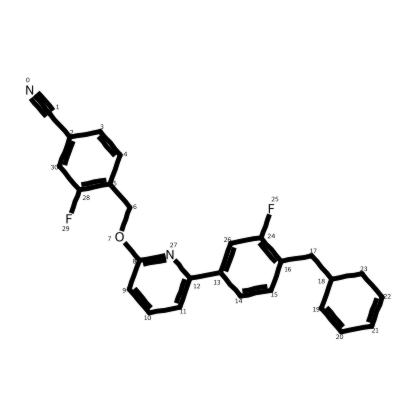 N#Cc1ccc(COc2cccc(-c3ccc(CC4C=CC=CC4)c(F)c3)n2)c(F)c1